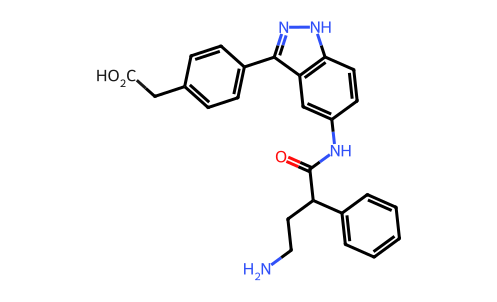 NCCC(C(=O)Nc1ccc2[nH]nc(-c3ccc(CC(=O)O)cc3)c2c1)c1ccccc1